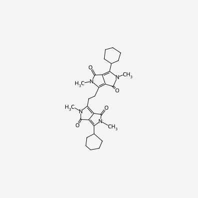 CN1C(=O)C2=C(C3CCCCC3)N(C)C(=O)C2=C1CCC1=C2C(=O)N(C)C(C3CCCCC3)=C2C(=O)N1C